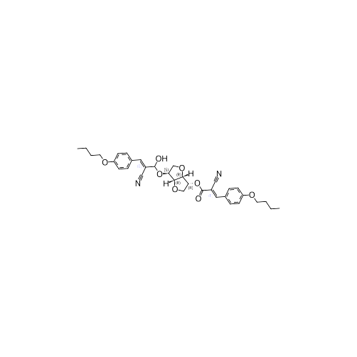 CCCCOc1ccc(/C=C(\C#N)C(=O)O[C@@H]2CO[C@H]3[C@@H]2OC[C@@H]3OC(O)/C(C#N)=C/c2ccc(OCCCC)cc2)cc1